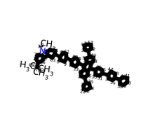 CCn1c2ccc(-c3ccc(-c4ccc(-c5c6ccc(-c7ccccc7)cc6c(-c6ccc(-c7ccc(-c8ccccc8)cc7)cc6)c6ccc(-c7ccccc7)cc56)cc4)cc3)cc2c2cc(C(C)(C)C)ccc21